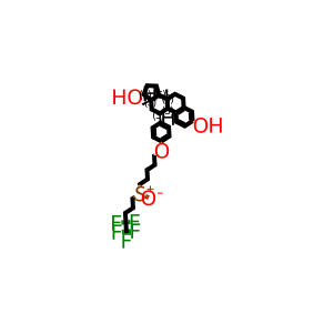 C[C@]12C[C@H](c3ccc(OCCCCC[S+]([O-])CCCC(F)(F)C(F)(F)F)cc3)[C@@H]3c4ccc(O)cc4CC[C@@]3(C)[C@@H]1CC[C@@H]2O